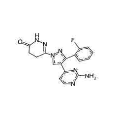 Nc1nccc(-c2cn(C3=NNC(=O)CC3)nc2-c2ccccc2F)n1